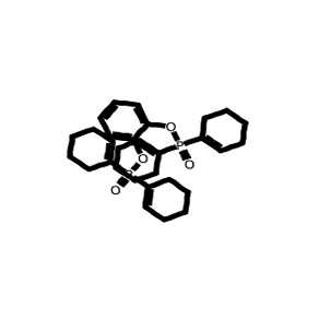 O=P(Oc1ccccc1OP(=O)(C1=CCCCC1)C1=CCCCC1)(C1=CCCCC1)C1=CCCCC1